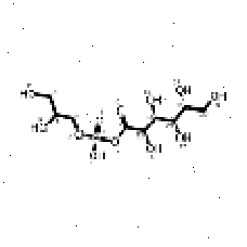 O=C(OP(=O)(O)OCC(O)CO)[C@H](O)[C@@H](O)[C@H](O)[C@H](O)CO